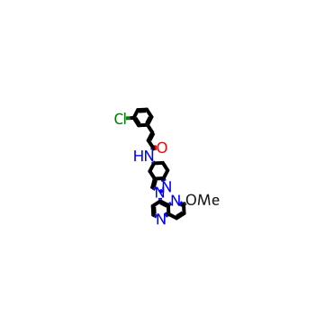 COc1ccc2nccc(-n3cc4c(n3)CCC(NC(=O)/C=C/c3cccc(Cl)c3)C4)c2n1